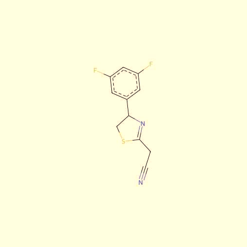 N#CCC1=NC(c2cc(F)cc(F)c2)CS1